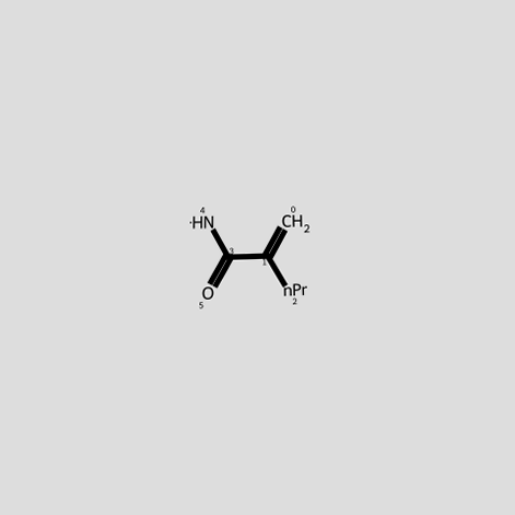 C=C(CCC)C([NH])=O